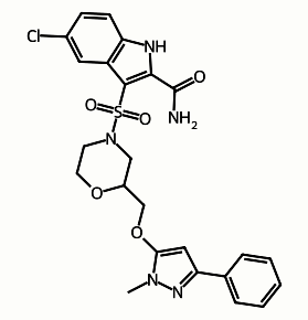 Cn1nc(-c2ccccc2)cc1OCC1CN(S(=O)(=O)c2c(C(N)=O)[nH]c3ccc(Cl)cc23)CCO1